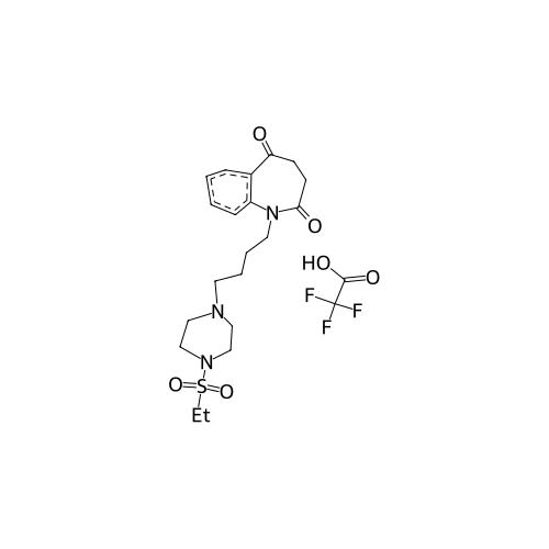 CCS(=O)(=O)N1CCN(CCCCN2C(=O)CCC(=O)c3ccccc32)CC1.O=C(O)C(F)(F)F